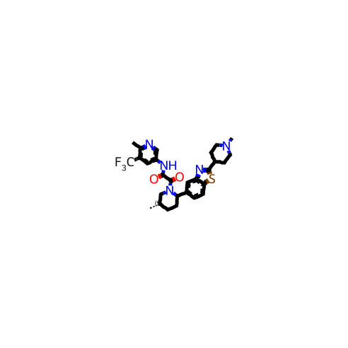 Cc1ncc(NC(=O)C(=O)N2C[C@@H](C)CCC2c2ccc3sc(C4CCN(C)CC4)nc3c2)cc1C(F)(F)F